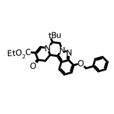 CCOC(=O)C1=CN2C(CC1=O)c1c3cccc(OCc4ccccc4)c3nn1CC2C(C)(C)C